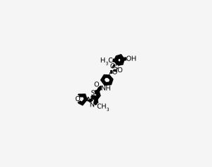 Cc1ccc(O)cc1S(=O)(=O)OC[C@H]1CC[C@H](NC(=O)c2cc3c(C)nn(C4CCOCC4)c3s2)CC1